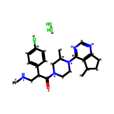 CC(C)NCC(C(=O)N1CCN(c2ncnc3c2C(C)CC3)C(C)C1)c1ccc(Cl)cc1.Cl.Cl